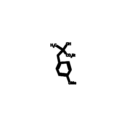 CCOC(=O)C(C)(O)Cc1ccc(OC)cc1